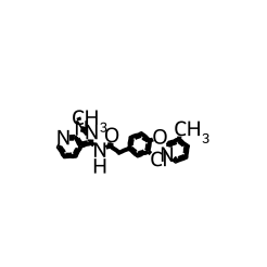 Cc1cccnc1Oc1ccc(CC(=O)Nc2nn(C)c3ncccc23)cc1Cl